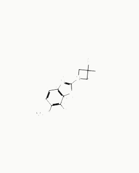 COc1ccc2nc(N3CC(F)(F)C3)sc2c1F